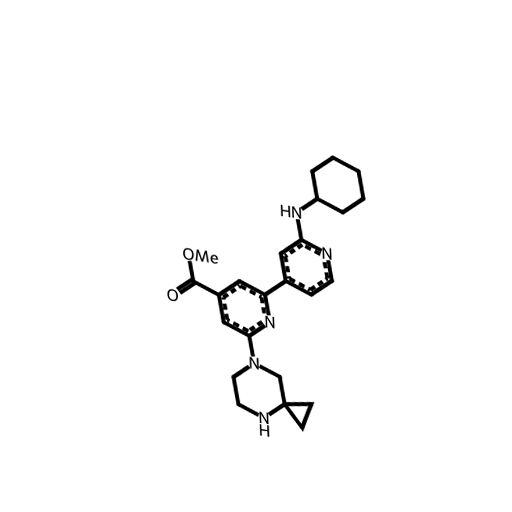 COC(=O)c1cc(-c2ccnc(NC3CCCCC3)c2)nc(N2CCNC3(CC3)C2)c1